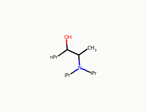 CCCC(O)C(C)N(C(C)C)C(C)C